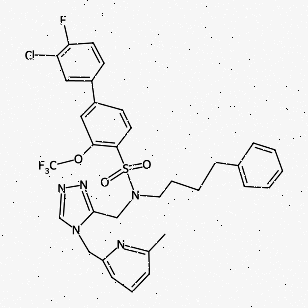 Cc1cccc(Cn2cnnc2CN(CCCCc2ccccc2)S(=O)(=O)c2ccc(-c3ccc(F)c(Cl)c3)cc2OC(F)(F)F)n1